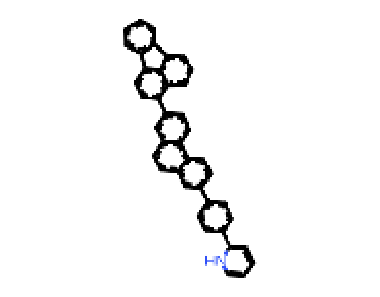 C1=CNC(c2ccc(-c3ccc4c(ccc5cc(-c6ccc7c8c(cccc68)-c6ccccc6-7)ccc54)c3)cc2)C=C1